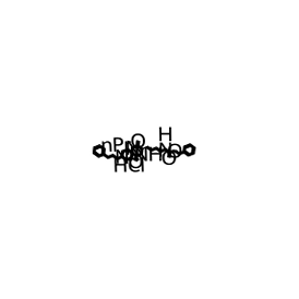 CCCN1C(=O)[C@@H](CCCCNC(=O)OCc2ccccc2)NC(=O)C12CCN(CCCc1ccccc1)CC2.Cl